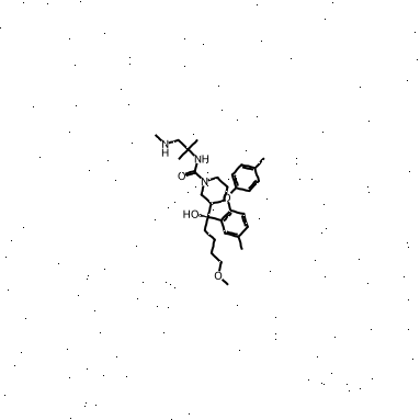 CNCC(C)(C)NC(=O)N1CCCC([C@@](O)(CCCCOC)c2cc(C)ccc2Oc2ccc(C)cc2)C1